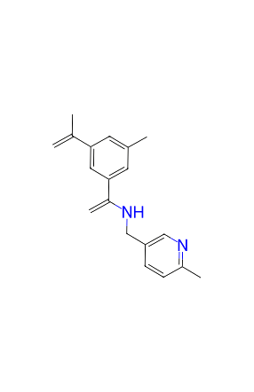 C=C(C)c1cc(C)cc(C(=C)NCc2ccc(C)nc2)c1